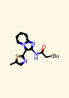 Cc1cnc(-c2c(NC(=O)CC(C)(C)C)nc3ccccn23)s1